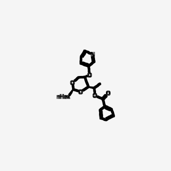 CCCCCC[C@H]1OC[C@@H](Oc2cccnc2)[C@@H](C(C)OC(=O)c2ccccc2)O1